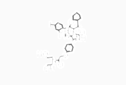 C[C@@H](c1ccccc1)C(C(=O)Nc1ccc(I)cc1F)N1C(=O)N[C@H](c2ccc(OCC(=O)N(CCO)CCO)cc2)C1=O